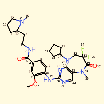 COc1cc(C(=O)NCCC2CCCN2C)ccc1Nc1ncc2c(n1)N(C1CCCC1)CC(F)(F)C(=O)N2C